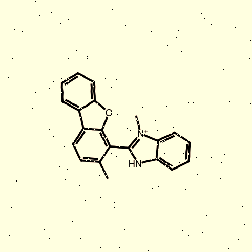 Cc1ccc2c(oc3ccccc32)c1-c1[nH]c2ccccc2[n+]1C